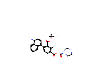 Cc1c(C(=O)OC(=O)N2CCNCC2)ccc(-c2ccc(N)c3ccccc23)c1C(=O)OC(C)(C)C